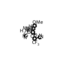 COc1ccc(CC2(F)C=C(Oc3ccc(C(F)(F)F)cc3-c3ccnnc3)C(Cl)=CC2NS(N)(=O)=O)c(OC)c1.c1nncs1